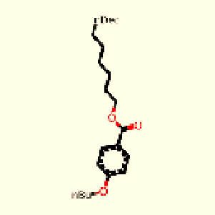 CCCCCCCCCCCCCCCCOC(=O)c1ccc(OCCCC)cc1